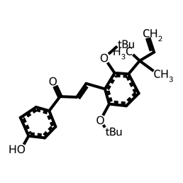 C=CC(C)(C)c1ccc(OC(C)(C)C)c(/C=C/C(=O)c2ccc(O)cc2)c1OC(C)(C)C